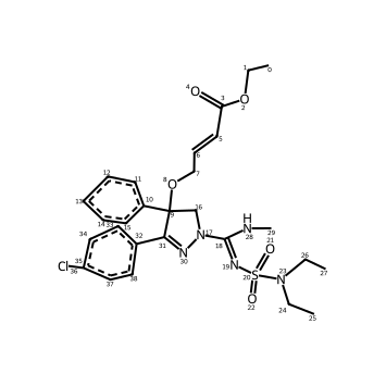 CCOC(=O)/C=C/COC1(c2ccccc2)CN(/C(=N/S(=O)(=O)N(CC)CC)NC)N=C1c1ccc(Cl)cc1